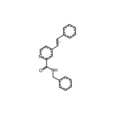 O=C(NCc1ccccc1)c1cc(/C=C/c2ccccc2)ccn1